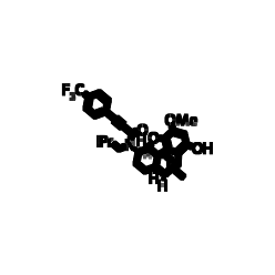 COc1cc(O)c2c3c1O[C@H]1[C@H](N(CC(C)C)C(=O)C#Cc4ccc(C(F)(F)F)cc4)CC[C@H]4[C@@H](C2)N(C)CC[C@@]341